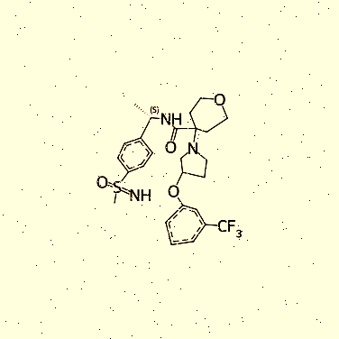 C[C@H](NC(=O)C1(N2CCC(Oc3cccc(C(F)(F)F)c3)C2)CCOCC1)c1ccc(S(C)(=N)=O)cc1